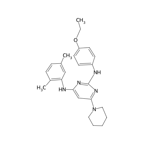 CCOc1ccc(Nc2nc(Nc3cc(C)ccc3C)cc(N3CCCCC3)n2)cc1